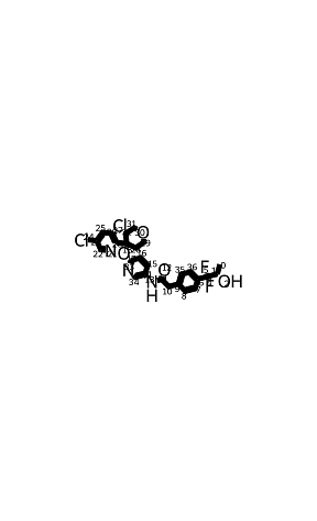 CC(O)C(F)(F)c1ccc(CC(=O)Nc2ccc(OC3(c4ncc(Cl)cc4Cl)CCOCC3)nc2)cc1